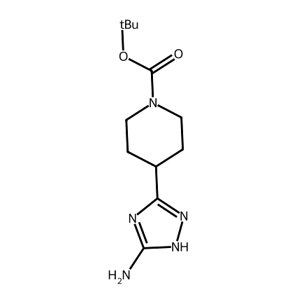 CC(C)(C)OC(=O)N1CCC(c2n[nH]c(N)n2)CC1